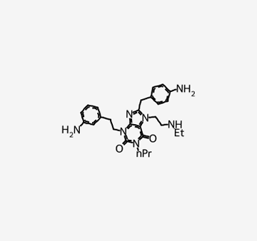 CCCn1c(=O)c2c(nc(Cc3ccc(N)cc3)n2CCNCC)n(CCc2cccc(N)c2)c1=O